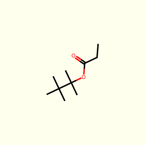 CCC(=O)OC(C)(C)C(C)(C)C